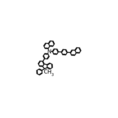 CC1(c2ccccc2)c2ccccc2-c2c(-c3ccc(N(c4ccc(-c5ccc(-c6ccc7ccccc7c6)cc5)cc4)c4cccc5ccccc45)cc3)cccc21